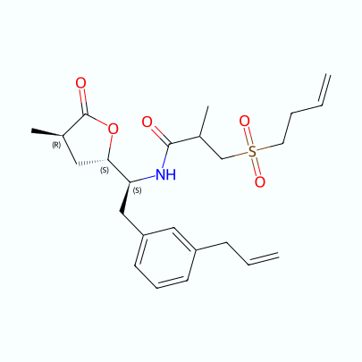 C=CCCS(=O)(=O)CC(C)C(=O)N[C@@H](Cc1cccc(CC=C)c1)[C@@H]1C[C@@H](C)C(=O)O1